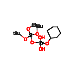 CC(C)(C)O[Si](OC(C)(C)C)(OC(C)(C)C)[O][Zr]([OH])([OH])[O]C1CCCCC1